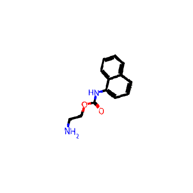 NCCOC(=O)Nc1cccc2ccccc12